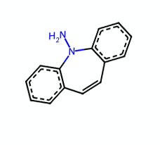 NN1c2ccccc2C=Cc2ccccc21